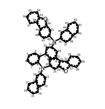 c1cc(-c2ccccc2N(c2ccc3ccccc3c2)c2ccc3c(c2)oc2ccccc23)cc(N(c2ccc3ccccc3c2)c2ccc3c(c2)oc2ccccc23)c1